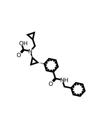 O=C(NCc1ccccc1)c1cccc([C@@H]2C[C@H]2N(CC2CC2)C(=O)O)c1